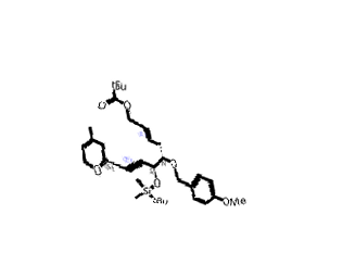 COc1ccc(CO[C@@H](C/C=C/COC(=O)C(C)(C)C)[C@H](/C=C/[C@@H]2CC(C)=CCO2)O[Si](C)(C)C(C)(C)C)cc1